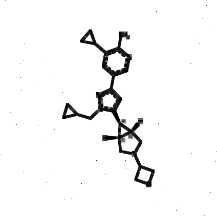 Nc1ncc(-c2cc([C@H]3[C@@H]4CN(C5COC5)C[C@@H]43)n(CC3CC3)n2)cc1C1CC1